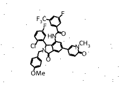 COc1ccc(CN2C(=O)c3cc(-c4ccc(=O)n(C)c4)cc(NC(=O)c4cc(F)cc(C(F)(F)F)c4)c3C2c2cc(F)ccc2Cl)cc1